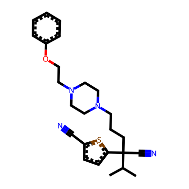 CC(C)C(C#N)(CCCN1CCN(CCOc2ccccc2)CC1)c1ccc(C#N)s1